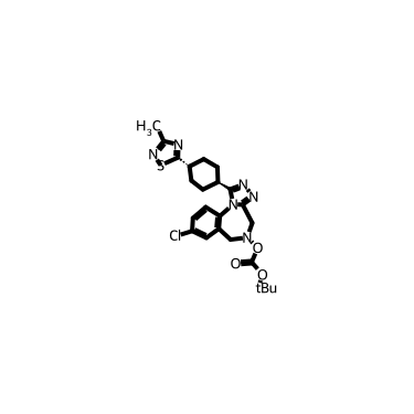 Cc1nsc([C@H]2CC[C@H](c3nnc4n3-c3ccc(Cl)cc3CN(OC(=O)OC(C)(C)C)C4)CC2)n1